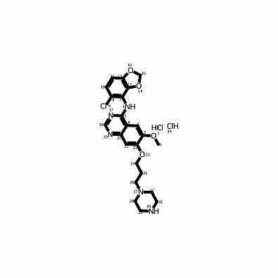 COc1cc2c(Nc3c(Cl)ccc4c3OCO4)ncnc2cc1OCCCN1CCNCC1.Cl.Cl